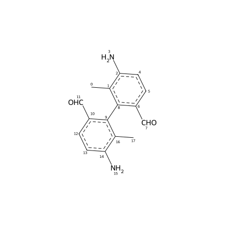 Cc1c(N)ccc(C=O)c1-c1c(C=O)ccc(N)c1C